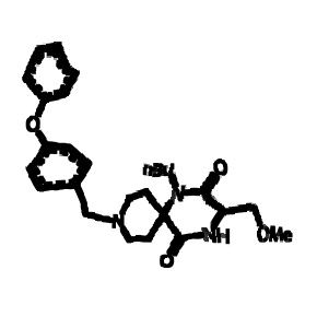 CCCCN1C(=O)C(COC)NC(=O)C12CCN(Cc1ccc(Oc3ccccc3)cc1)CC2